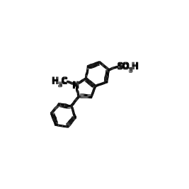 Cn1c(-c2ccccc2)cc2cc(S(=O)(=O)O)ccc21